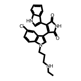 CCNCCCn1cc(C2=C(c3c[nH]c4ccccc34)C(=O)NC2=O)c2cc(Cl)ccc21